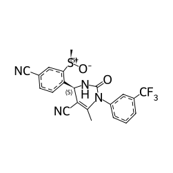 CC1=C(C#N)[C@@H](c2ccc(C#N)cc2[S@@+](C)[O-])NC(=O)N1c1cccc(C(F)(F)F)c1